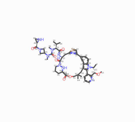 CCn1c(-c2cccnc2[C@H](C)OC)c2c3cc(ccc31)-c1csc(n1)C[C@H](NC(=O)[C@H](C(C)C)N(C)C(=O)N(C)C1CN(C(=O)[C@H]3CN3)C1)C(=O)N1CCC[C@H](N1)C(=O)OCC(C)(C)C2